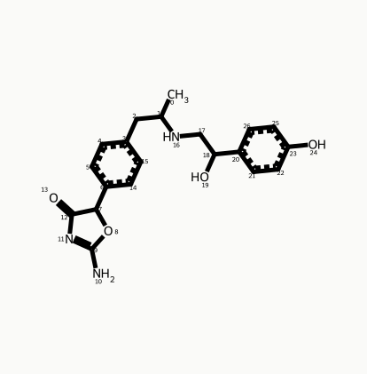 CC(Cc1ccc(C2OC(N)=NC2=O)cc1)NCC(O)c1ccc(O)cc1